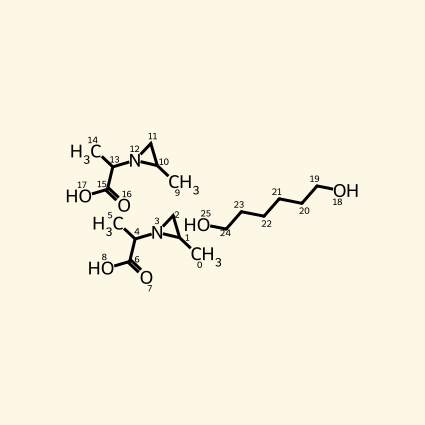 CC1CN1C(C)C(=O)O.CC1CN1C(C)C(=O)O.OCCCCCCO